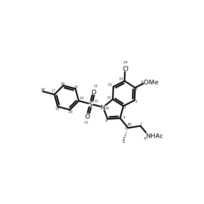 COc1cc2c([C@@H](C)CNC(C)=O)cn(S(=O)(=O)c3ccc(C)cc3)c2cc1Cl